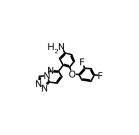 Nc1ccc(Oc2ccc(F)cc2F)c(-c2ccc3nncn3n2)c1